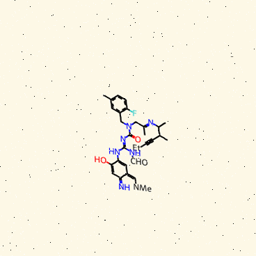 CCC#CC(C)C(C)/N=C(\C)CN(Cc1cc(C)ccc1F)C(=O)/N=C(\NC=O)NC1=C/C(=C/NC)C(=N)C=C1O